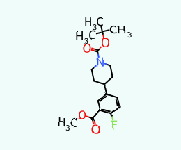 COC(=O)c1cc(C2CCN(C(=O)OC(C)(C)C)CC2)ccc1F